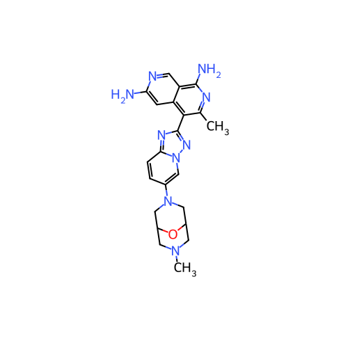 Cc1nc(N)c2cnc(N)cc2c1-c1nc2ccc(N3CC4CN(C)CC(C3)O4)cn2n1